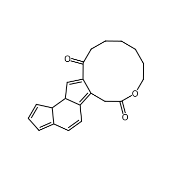 O=C1CC2=C3C=CC4=CC=CC4C3C=C2C(=O)CCCCCCO1